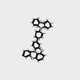 c1ccc2c(c1)Oc1cccc3c1B2c1ccc(-c2ccc(-n4c5ccccc5c5ccccc54)cc2)cc1O3